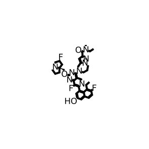 CCc1c(F)ccc2cc(O)cc(-c3ncc4c(N5CCCn6nc(C(=O)N(C)CC)cc6C5)nc(OC[C@@]56CCCN5C[C@H](F)C6)nc4c3F)c12